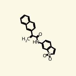 C=C(C(=O)Nc1ccc2c(c1)S(=O)(=O)C=C2)c1ccc2ccccc2c1